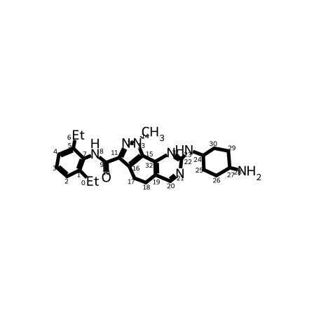 CCc1cccc(CC)c1NC(=O)c1nn(C)c2c1CCc1cnc(NC3CCC(N)CC3)nc1-2